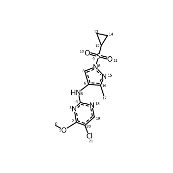 COc1nc(Nc2cn(S(=O)(=O)C3CC3)nc2C)ncc1Cl